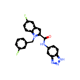 O=C(Nc1ccc2[nH]nnc2c1)c1cc2cc(F)ccc2n1Cc1cccc(F)c1